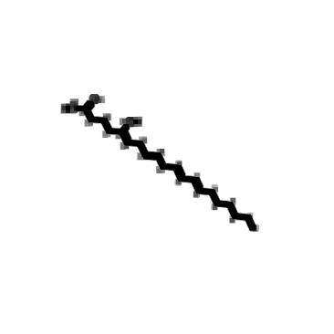 CCCCCC/C=C/C=C/C/C=C/C/C=C(\O)CCCC(=O)O